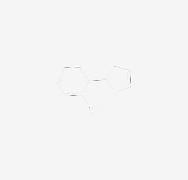 O=[N+]([O-])c1ccccc1C1CC=CO1